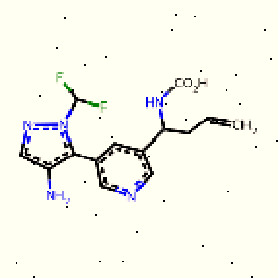 C=CCC(NC(=O)O)c1cncc(-c2c(N)cnn2C(F)F)c1